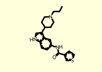 CCCN1CCC(c2c[nH]c3ccc(NC(=O)c4ccsc4)cc23)CC1